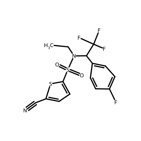 CCN(C(c1ccc(F)cc1)C(F)(F)F)S(=O)(=O)c1ccc(C#N)s1